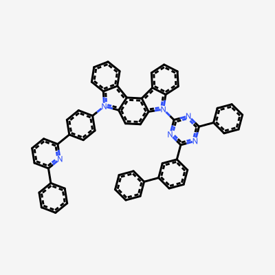 c1ccc(-c2cccc(-c3nc(-c4ccccc4)nc(-n4c5ccccc5c5c6c7ccccc7n(-c7ccc(-c8cccc(-c9ccccc9)n8)cc7)c6ccc54)n3)c2)cc1